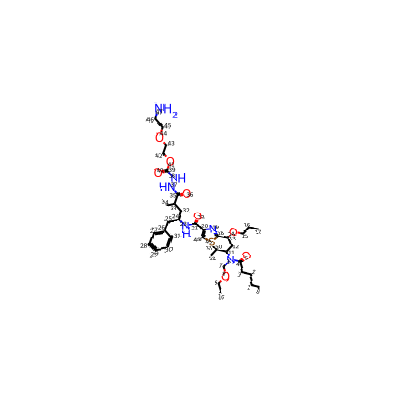 CCCCC(=O)N(COCC)C(CC(OCCC)c1nc(C(=O)NC(Cc2ccccc2)CC(C)C(=O)NNC(=O)OCCOCCN)cs1)C(C)C